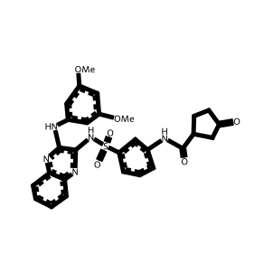 COc1cc(Nc2nc3ccccc3nc2NS(=O)(=O)c2cccc(NC(=O)C3CCC(=O)C3)c2)cc(OC)c1